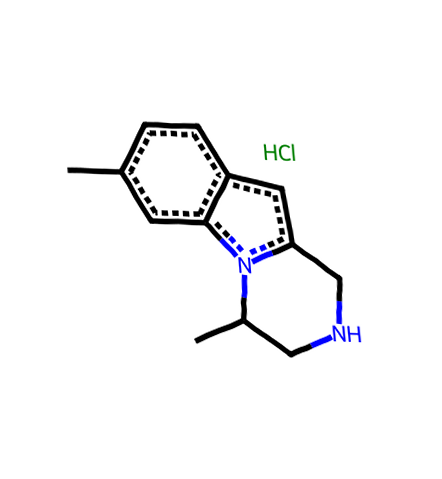 Cc1ccc2cc3n(c2c1)C(C)CNC3.Cl